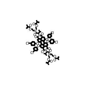 C=C(C)C(=O)OCCN(CCOC(=O)C(=C)C)C(=O)C(C(C)C)N1C(=O)c2cc(Oc3ccc(Cl)cc3)c3c4c(Oc5ccc(Cl)cc5)cc5c6c(cc(Oc7ccc(Cl)cc7)c(c7c(Oc8ccc(Cl)cc8)cc(c2c37)C1=O)c64)C(=O)N(C(C(=O)N(CCOC(=O)C(=C)C)CCOC(=O)C(=C)C)C(C)C)C5=O